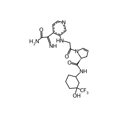 N=C(C(N)=O)c1ccncc1NCC(=O)N1C=CC[C@H]1C(=O)NC1CCCC(O)(C(F)(F)F)C1